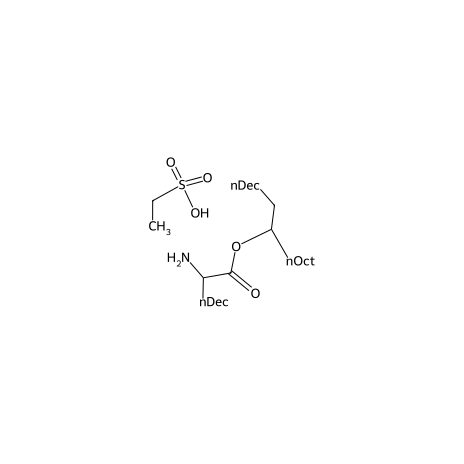 CCCCCCCCCCCC(CCCCCCCC)OC(=O)C(N)CCCCCCCCCC.CCS(=O)(=O)O